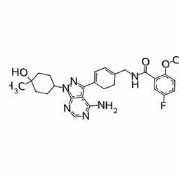 COc1ccc(F)cc1C(=O)NCC1=CC=C(c2nn(C3CCC(C)(O)CC3)c3ncnc(N)c23)CC1